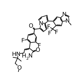 COCC(C)(C)NCC=C(C(N)=O)c1c(F)cc(C(=O)c2ccc3c(-c4cc5ncn(C)c5cc4C(F)(F)F)cccn23)cc1F